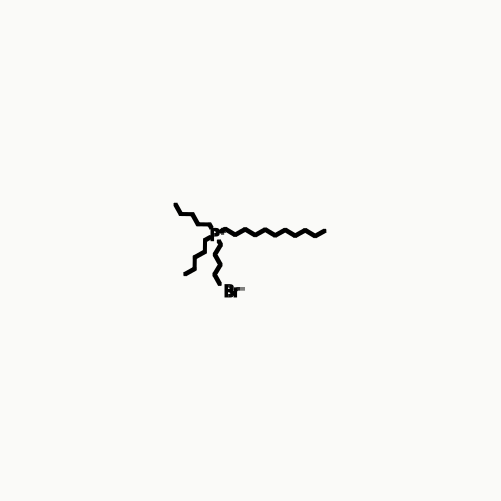 CCCCCCCCCCC[P+](CCCCC)(CCCCC)CCCCC.[Br-]